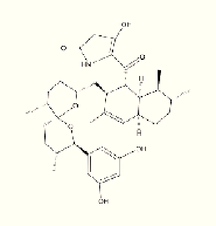 CC1=C[C@@H]2CC[C@@H](C)[C@H](C)[C@@H]2[C@@H](C(=O)C2=C(O)CC(=O)N2)[C@@H]1C[C@H]1CC[C@@H](C)[C@@]2(CC[C@@H](C)[C@H](c3cc(O)cc(O)c3)O2)O1